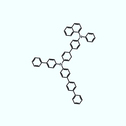 C1=CC(c2ccc(N(c3ccccc3)c3cccc4ccccc34)cc2)CC=C1N(c1ccc(-c2ccccc2)cc1)c1ccc(-c2ccc(-c3ccccc3)cc2)cc1